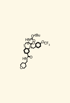 CC(C)(C)OC(=O)N[C@H]1CSc2ccc(C(=O)NCC3CCOCC3)cc2N(Cc2ccc(OC(F)(F)F)cc2)C1=O